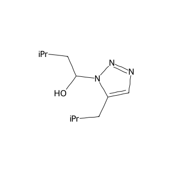 CC(C)Cc1cnnn1C(O)CC(C)C